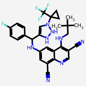 CC(C)(C)CNc1c(C#N)cnc2c(C#N)cc(NC(C3=CN(C4(C(F)(F)F)CC4)NN3)c3ccc(F)cc3)cc12